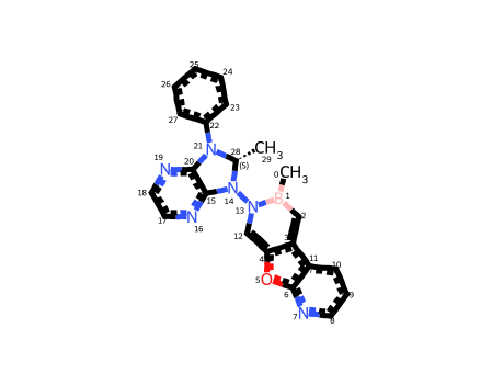 CB1C=c2c(oc3ncccc23)=CN1N1c2nccnc2N(c2ccccc2)[C@@H]1C